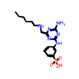 CCCCCCNCc1nc(N)nc(Nc2cccc(S(=O)(=O)O)c2)n1